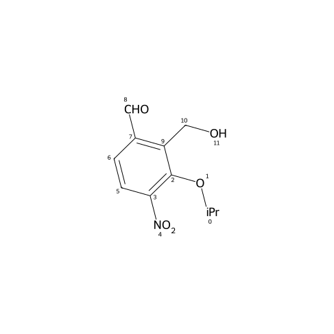 CC(C)Oc1c([N+](=O)[O-])ccc(C=O)c1CO